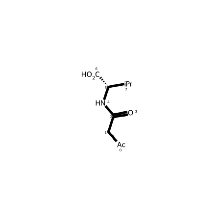 CC(=O)CC(=O)N[C@H](C(=O)O)C(C)C